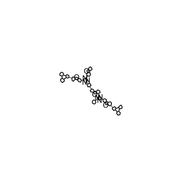 c1ccc(-c2nc(-c3ccc4c(c3)oc3cc(-c5ccc6c7ccccc7c7ccccc7c6c5)ccc34)nc(-c3cccc4c3oc3ccc(-c5ccc(-c6nc(-c7ccc8c(c7)oc7ccccc78)nc(-c7ccc8c(c7)oc7cc(-c9ccc%10c%11ccccc%11c%11ccccc%11c%10c9)ccc78)n6)cc5)cc34)n2)cc1